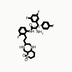 N[C@H](C(=O)Nc1cccc(F)c1CCC1CNC2CCCS(=O)(=O)C2CN1)[C@@H](c1ccc(F)cc1)c1cc(F)cc(F)c1